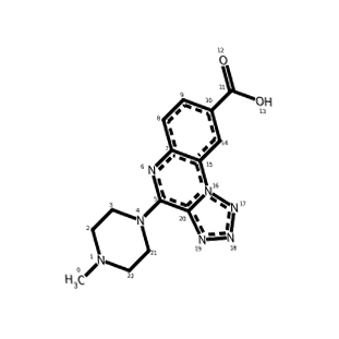 CN1CCN(c2nc3ccc(C(=O)O)cc3n3nnnc23)CC1